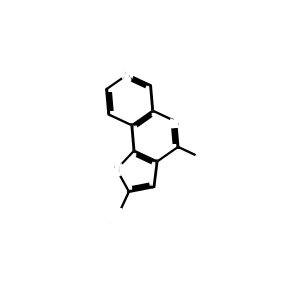 CCOC(=O)c1cc2c(Cl)nc3cnccc3c2[nH]1